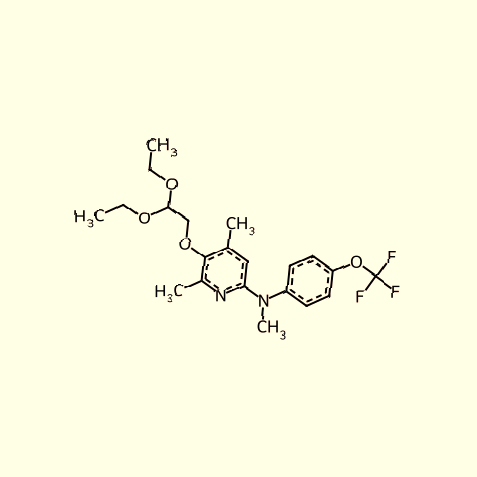 CCOC(COc1c(C)cc(N(C)c2ccc(OC(F)(F)F)cc2)nc1C)OCC